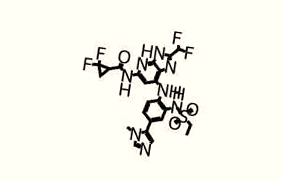 CCS(=O)(=O)Nc1cc(-c2cncn2C)ccc1Nc1cc(NC(=O)C2CC2(F)F)nc2[nH]c(C(F)F)nc12